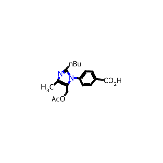 CCCCc1nc(C)c(COC(C)=O)n1-c1ccc(C(=O)O)cc1